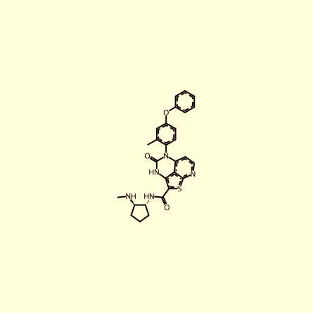 CN[C@@H]1CCC[C@H]1NC(=O)c1sc2nccc3c2c1NC(=O)N3c1ccc(Oc2ccccc2)cc1C